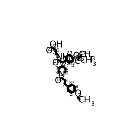 CCOc1ccc(CCC(=O)N2CCC([C@H](C(=O)NCCC(=O)O)c3ccc(OC(C)(C)C)cc3)CC2)cc1